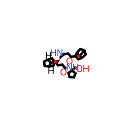 O=C(CCCC1[C@H]2CC[C@H]1CC(C[C@@H]1NC1CC(=O)C13CC4CC(CC1C4)C3)C2)NC1(CO)CCCC1